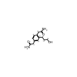 NC(=O)Cc1ccc(CC(N)=O)c(CCCO)c1